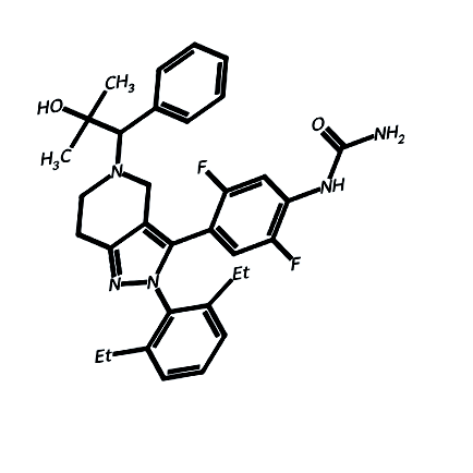 CCc1cccc(CC)c1-n1nc2c(c1-c1cc(F)c(NC(N)=O)cc1F)CN(C(c1ccccc1)C(C)(C)O)CC2